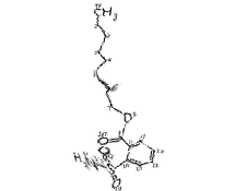 CCCCCCCCOC(=O)c1ccccc1S(N)(=O)=O